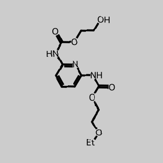 CCOCCOC(=O)Nc1cccc(NC(=O)OCCO)n1